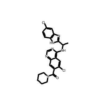 CC(Nc1ncnc2cc(C(=O)N3CCCCC3)c(Cl)cc12)c1nc2cc(Cl)ccc2[nH]1